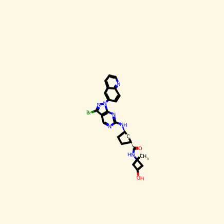 CC1(NC(=O)[C@@H]2CC[C@@H](Nc3ncc4c(Br)nn(-c5ccc6ncccc6c5)c4n3)C2)CC(O)C1